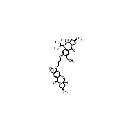 C=C1C[C@H]2C=Nc3cc(OCCCOc4cc5c(cc4OC)C(=O)N4CC(=C)C[C@H]4[C@H](O)N5C(C)C)c(OC)cc3C(=O)N2C1